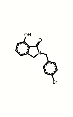 O=C1c2c(O)cccc2CN1Cc1ccc(Br)cc1